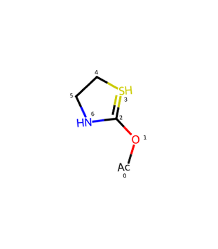 CC(=O)OC1=[SH]CCN1